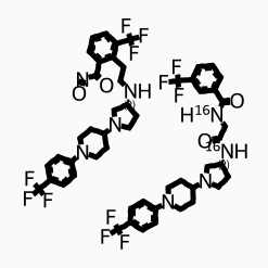 O=C(C[16NH]C(=O)c1cccc(C(F)(F)F)c1)[16NH][C@@H]1CCN(C2CCN(c3ccc(C(F)(F)F)cc3)CC2)C1.O=NC(=O)c1cccc(C(F)(F)F)c1CCN[C@@H]1CCN(C2CCN(c3ccc(C(F)(F)F)cc3)CC2)C1